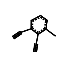 C#Cc1cccc(C)c1C#C